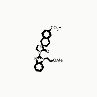 COCCn1c(N2CC[C@]3(CCc4cc(C(=O)O)ccc4C3)C2=O)nc2ccccc21